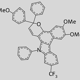 COc1ccc(C2(c3ccccc3)C=Cc3c(c4cc(OC)c(OC)cc4c4c5ccc(C(F)(F)F)cc5n(-c5ccccc5)c34)O2)cc1